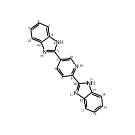 c1ccc2[nH]c(-c3ccc(-c4nc5ccccc5[nH]4)nc3)nc2c1